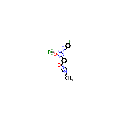 CCCN1CCN(C(=O)c2cccc(-c3nc(NCc4ccc(F)cc4)nc(OCC(F)(F)F)n3)c2)CC1